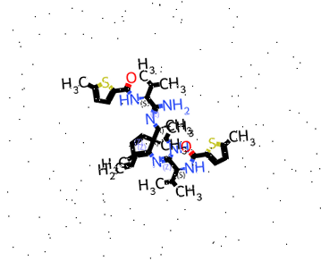 C=C/C=C(\N=C(/NCC)[C@@H](NC(=O)c1ccc(C)s1)C(C)C)[C@](C)(/C=C\CC)[C@@H](C)/N=C(\N)[C@@H](NC(=O)c1ccc(C)s1)C(C)C